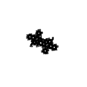 Cc1ccc2c(c1)C(C)(C)c1c(-c3ccc(N(c4ccccc4)c4ccc5ccccc5c4)c4c3C(C)(C)c3cc(C)ccc3-4)ccc(N(c3ccccc3)c3ccc4ccccc4c3)c1-2